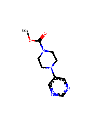 CC(C)(C)OC(=O)N1CCN(c2cncnc2)CC1